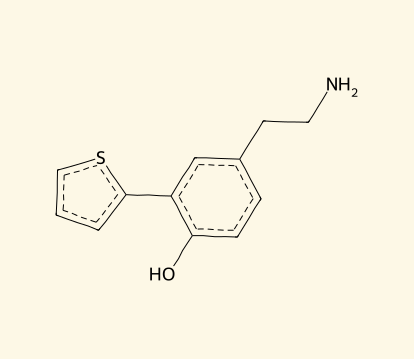 NCCc1ccc(O)c(-c2cccs2)c1